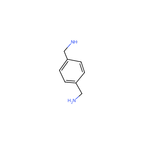 [NH]Cc1ccc(CN)cc1